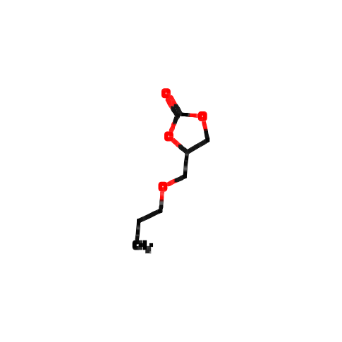 [CH2]CCOCC1COC(=O)O1